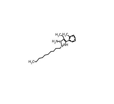 CCCCCCCCCCN1NC(c2ccccc2C)=C(CC)N1N